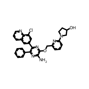 Nc1nc(-c2ccccc2)c(-c2cc(Cl)c3ncccc3c2)nc1OCc1cccc(N2CCC(O)C2)n1